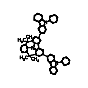 CC1(C)c2cccc3c2-n2c4c1cc(-c1ccc5c(c1)c1ccccc1n5-c1ccccc1)cc4c1cc(-c4ccc5c(c4)c4ccccc4n5-c4ccccc4)cc(c12)C3(C)C